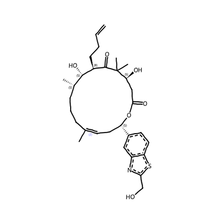 C=CCC[C@H]1C(=O)C(C)(C)[C@@H](O)CC(=O)O[C@H](c2ccc3sc(CO)nc3c2)C/C=C(/C)CCC[C@H](C)[C@@H]1O